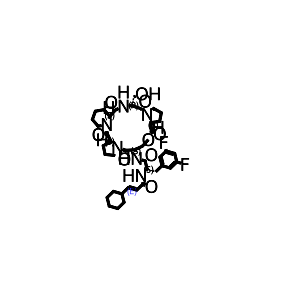 O=C(/C=C/C1CCCCC1)N[C@@H](Cc1cc(F)cc(F)c1)C(=O)N[C@H]1COC(=O)[C@@H]2CCCN2C(=O)[C@@H](CO)NC(=O)[C@@H]2CCCCN2C(=O)[C@@H]2CCCN2C1=O